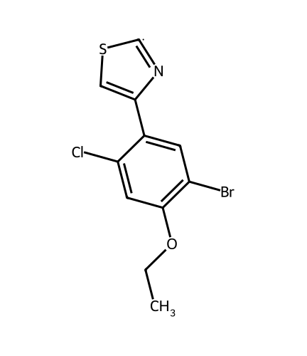 CCOc1cc(Cl)c(-c2cs[c]n2)cc1Br